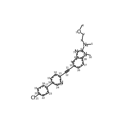 COCCN(C)c1nc2cc(C#Cc3ccc(-c4ccc(Cl)cc4)cn3)ccc2n1C